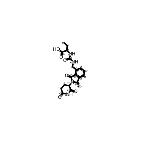 CCC(NC(=O)NCc1cccc2c1C(=O)N(C1CCC(=O)NC1=O)C2=O)C(=O)O